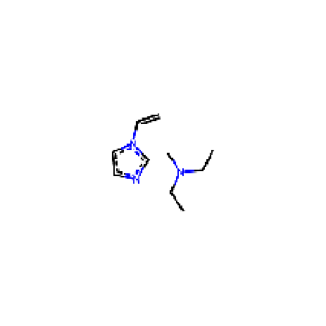 C=Cn1ccnc1.CCN(C)CC